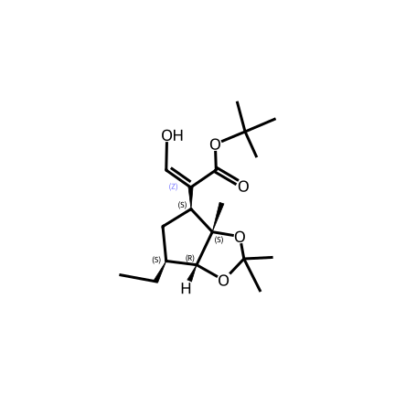 CC[C@H]1C[C@@H](/C(=C/O)C(=O)OC(C)(C)C)[C@]2(C)OC(C)(C)O[C@H]12